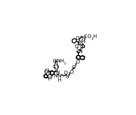 C[C@@H](C(=O)N[C@H](C(=O)N1CCC[C@H]1c1nc(-c2ccc(OCCOCCOCCN(C)C(=O)CCNc3nc(N4CCN(C(N)=O)CC4)c4cc(Cl)c(-c5c(O)cccc5F)c(F)c4n3)c3ccccc23)cs1)C1CCCCC1)N(C)C(=O)O